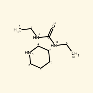 C1CCNCC1.CCNC(=O)NCC